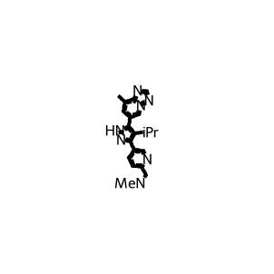 CNCc1ccc(-c2n[nH]c(-c3cc(C)c4ncnn4c3)c2C(C)C)cn1